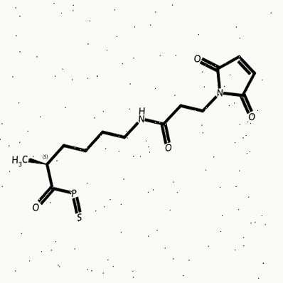 C[C@@H](CCCCNC(=O)CCN1C(=O)C=CC1=O)C(=O)P=S